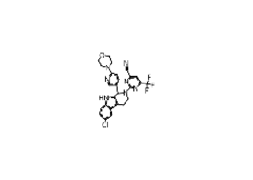 N#Cc1cc(C(F)(F)F)nc(N2CCc3c([nH]c4ccc(Cl)cc34)C2c2ccc(N3CCOCC3)nc2)n1